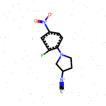 [C-]#[N+]C1CCN(c2ccc([N+](=O)[O-])cc2F)C1